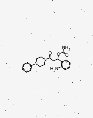 NC(=O)OC(CC(=O)N1CCN(c2ccccc2)CC1)c1ccccc1N